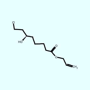 C=CCOC(=O)CCCC[C@@H](O)CCCl